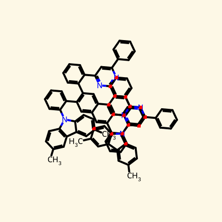 Cc1ccc2c(c1)c1cc(C)ccc1n2-c1ccccc1-c1cc2cc(-c3ccccc3-c3cc(-c4ccccc4)nc(-c4ccccc4)n3)c(-c3ccccc3-n3c4ccc(C)cc4c4cc(C)ccc43)cc2cc1-c1ccccc1-c1cc(-c2ccccc2)nc(-c2ccccc2)n1